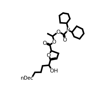 CCCCCCCCCCCCCC(O)C1=CCC(C(=O)OC(C)OC(=O)N(C2CCCCC2)C2CCCCC2)O1